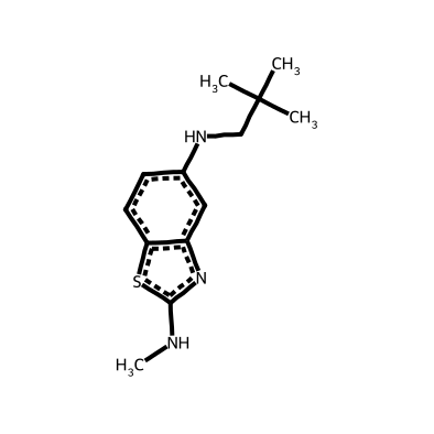 CNc1nc2cc(NCC(C)(C)C)ccc2s1